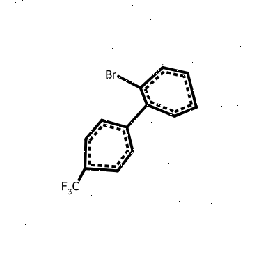 FC(F)(F)c1ccc(-c2ccc[c]c2Br)cc1